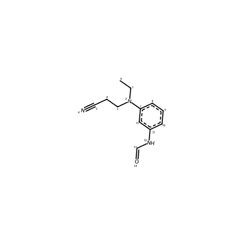 CCN(CCC#N)c1cccc(NC=O)c1